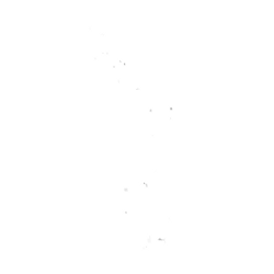 C=CC(=O)NCCOC(O)C1CCC(C2CCC(CCCCC)CC2)CC1